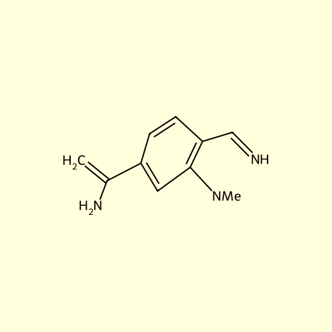 C=C(N)c1ccc(C=N)c(NC)c1